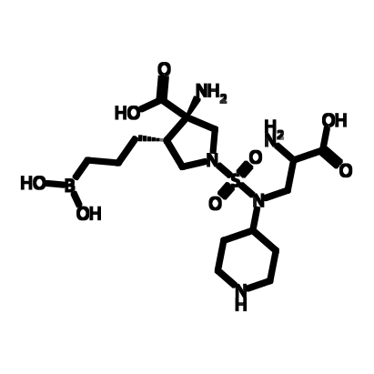 NC(CN(C1CCNCC1)S(=O)(=O)N1C[C@H](CCCB(O)O)[C@](N)(C(=O)O)C1)C(=O)O